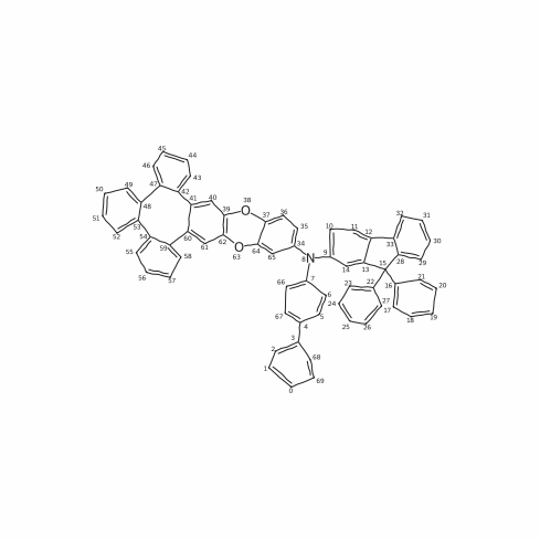 c1ccc(-c2ccc(N(c3ccc4c(c3)C(c3ccccc3)(c3ccccc3)c3ccccc3-4)c3ccc4oc5cc6c7ccccc7c7ccccc7c7ccccc7c6cc5oc4c3)cc2)cc1